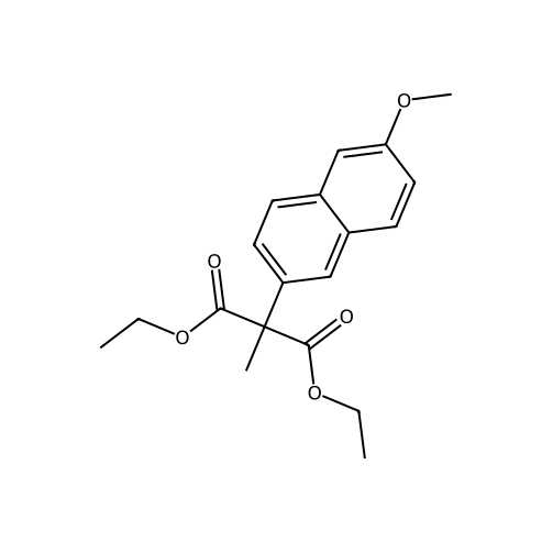 CCOC(=O)C(C)(C(=O)OCC)c1ccc2cc(OC)ccc2c1